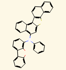 c1ccc(N(c2cc3sc4c5ccccc5ccc4c3c3ccccc23)c2cccc3c2oc2ccccc23)cc1